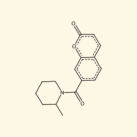 CC1CCCCN1C(=O)c1ccc2ccc(=O)oc2c1